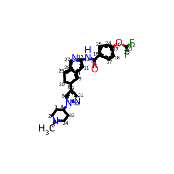 CN1CCC(n2cc(C3C=c4cc(NC(=O)c5ccc(OC(F)F)cc5)ncc4=CC3)cn2)CC1